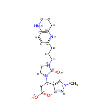 Cn1cc(C(CC(=O)O)N2CCN(CCCc3ccc4c(n3)CCCN4)C2=O)cn1